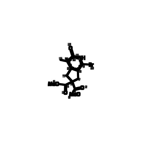 COC(=O)C1(C(=O)OC)Cc2c(Br)[nH]c(=O)c(C)c2C1